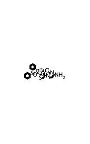 CCCCC(O[SiH](c1ccccc1)c1ccccc1)[C@@H]1O[C@H](n2ccc(N)nc2=O)CS1